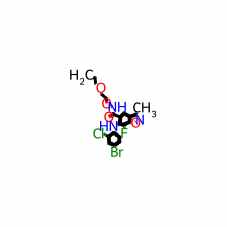 C=CCOCCONC(=O)c1cc2c(C)noc2c(F)c1Nc1ccc(Br)cc1Cl